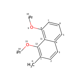 Cc1ccc2cccc(OC(C)C)c2c1OC(C)C